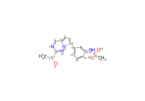 C[S+]([O-])c1ncc2ccc(-c3cccc(NS(C)(=O)=O)c3)n2n1